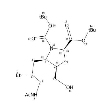 CCC(CNC(C)=O)C[C@@H]1[C@H](CO)C[C@H](C(=O)OC(C)(C)C)N1C(=O)OC(C)(C)C